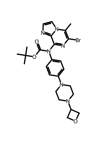 Cc1c(Br)nc(N(C(=O)OC(C)(C)C)c2ccc(N3CCN(C4COC4)CC3)cc2)c2nccn12